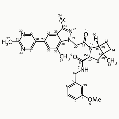 COc1cccc(CNC(=O)[C@@H]2C[C@@]3(C)CC[C@H]3N2C(=O)Cn2nc(C(C)=O)c3cc(-c4cnc(C)nc4)cc(C)c32)c1